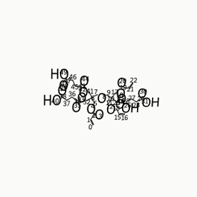 C=CC(=O)OCC(COCC(COC(=O)C=C)(COC(=O)C=C)COC(O)CCC(=O)O)(COC(=O)CCC(=O)O)COC(=O)CCC(=O)O